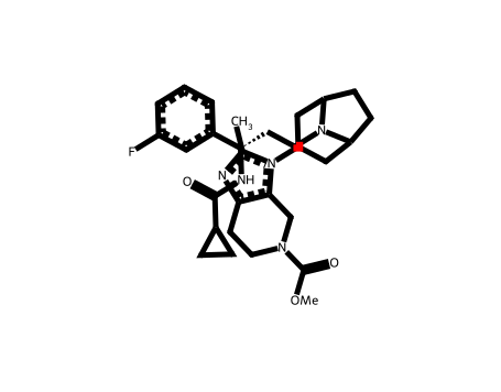 COC(=O)N1CCc2nc(C)n(C3CC4CCC(C3)N4CC[C@H](NC(=O)C3CC3)c3cccc(F)c3)c2C1